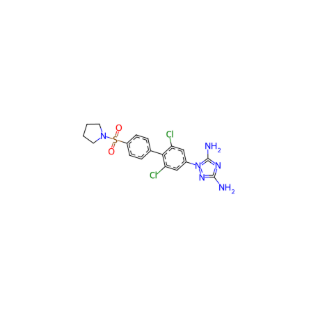 Nc1nc(N)n(-c2cc(Cl)c(-c3ccc(S(=O)(=O)N4CCCC4)cc3)c(Cl)c2)n1